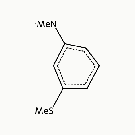 C[N]c1cccc(SC)c1